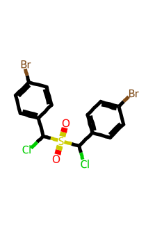 O=S(=O)(C(Cl)c1ccc(Br)cc1)C(Cl)c1ccc(Br)cc1